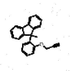 C#CCOc1ccccc1C1(C)c2ccccc2-c2ccccc21